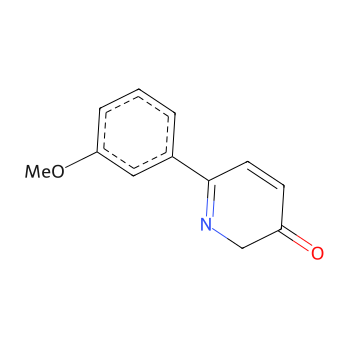 COc1cccc(C2=NCC(=O)C=C2)c1